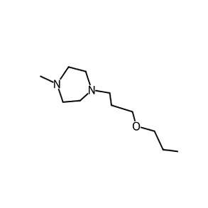 CCCOCCCN1CCN(C)CC1